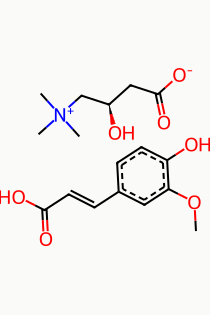 COc1cc(/C=C/C(=O)O)ccc1O.C[N+](C)(C)C[C@H](O)CC(=O)[O-]